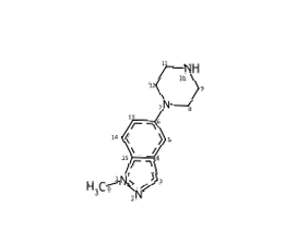 Cn1ncc2cc(N3CCNCC3)ccc21